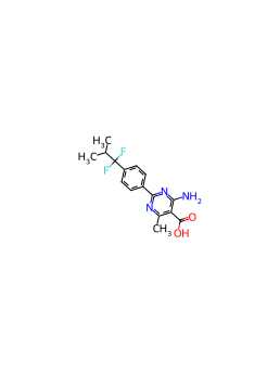 Cc1nc(-c2ccc(C(F)(F)C(C)C)cc2)nc(N)c1C(=O)O